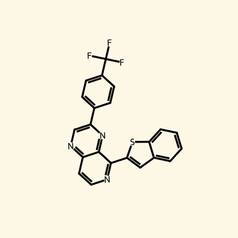 FC(F)(F)c1ccc(-c2cnc3ccnc(-c4cc5ccccc5s4)c3n2)cc1